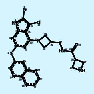 CCc1[nH]c2nc(Sc3cnc4nccnc4c3)nc(N3CC(CNC(=O)C4CNC4)C3)c2c1Cl